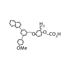 COc1ccc(-c2cc(COc3ccc(OCC(=O)O)c(C)c3)cc(-c3ccc4ccccc4c3)c2)cc1